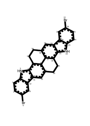 Brc1ccc2[nH]c3c4c5c(cc3c2c1)CCc1c-5c(cc2c1[nH]c1ccc(Br)cc12)CC4